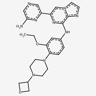 [CH2][CH]Oc1cc(Nc2nc(-c3cncc(N)n3)cn3ccnc23)ccc1N1CCN(C2COC2)CC1